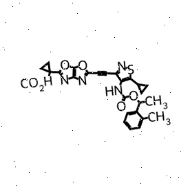 Cc1ccccc1C(C)OC(=O)Nc1c(C#Cc2nc3nc(C4(C(=O)O)CC4)oc3o2)nsc1C1CC1